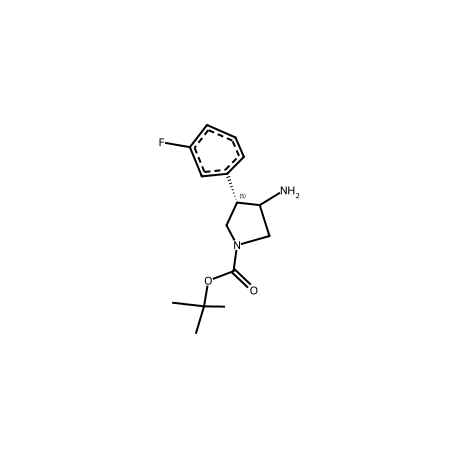 CC(C)(C)OC(=O)N1CC(N)[C@@H](c2cccc(F)c2)C1